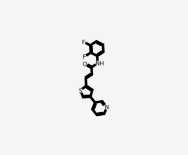 O=C(C=Cc1cc(-c2cccnc2)cs1)Nc1cccc(F)c1F